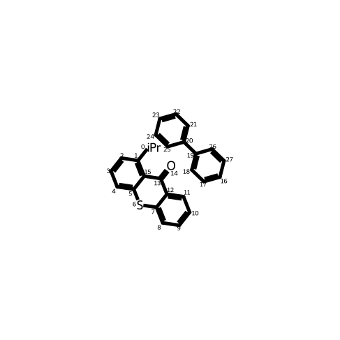 CC(C)c1cccc2sc3ccccc3c(=O)c12.c1ccc(-c2ccccc2)cc1